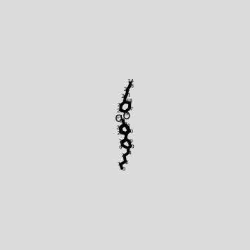 CCCCCC1CC=C(c2ccc(C(=O)OC3CCC(CCCCC)CC3)cc2)CC1